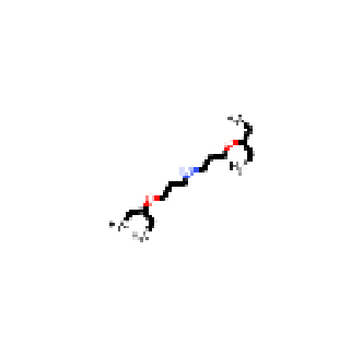 CCC(CC)OCCCNCCCOC(CC)CC